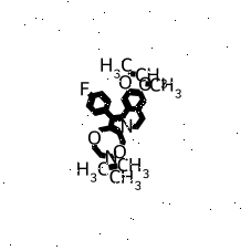 COc1cc2c(cc1OC(C)C)-c1c(-c3ccc(F)cc3)c3c(n1CC2)CON(C(C)(C)C)CCOC3